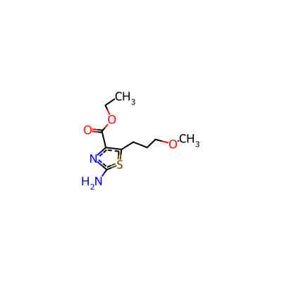 CCOC(=O)c1nc(N)sc1CCCOC